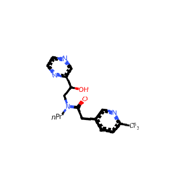 CCCN(CC(O)c1cnccn1)C(=O)Cc1ccc(C(F)(F)F)nc1